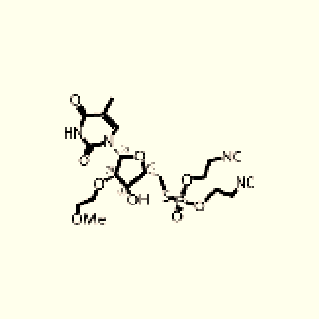 [C-]#[N+]CCOP(=O)(OCC[N+]#[C-])SC[C@H]1O[C@@H](n2cc(C)c(=O)[nH]c2=O)[C@H](OCCOC)[C@@H]1O